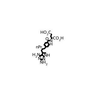 CCCC(Cc1ccc(C(=O)N[C@@H](CCC(=O)O)C(=O)O)cc1)CC1CNc2nc(N)nc(N)c21